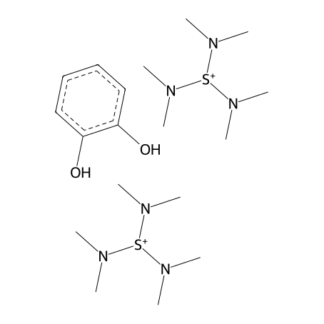 CN(C)[S+](N(C)C)N(C)C.CN(C)[S+](N(C)C)N(C)C.Oc1ccccc1O